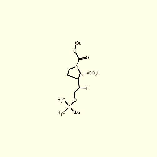 CC(C)(C)OC(=O)N1CCC(C(F)CO[Si](C)(C)C(C)(C)C)[C@H]1C(=O)O